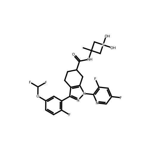 CC1(NC(=O)C2CCc3c(-c4cc(OC(F)F)ccc4F)nn(-c4ncc(F)cc4F)c3C2)CS(O)(O)C1